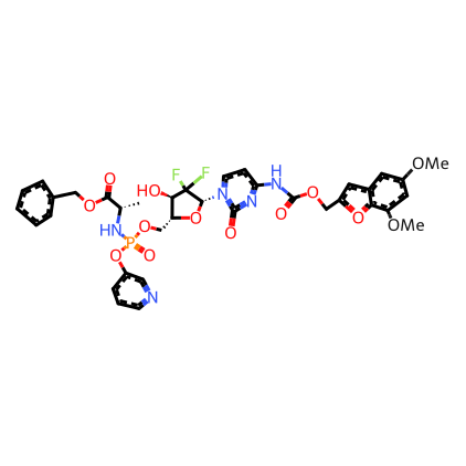 COc1cc(OC)c2oc(COC(=O)Nc3ccn([C@@H]4O[C@H](COP(=O)(N[C@@H](C)C(=O)OCc5ccccc5)Oc5cccnc5)[C@@H](O)C4(F)F)c(=O)n3)cc2c1